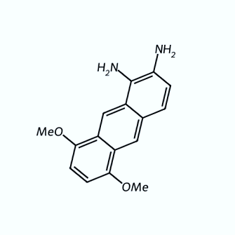 COc1ccc(OC)c2cc3c(N)c(N)ccc3cc12